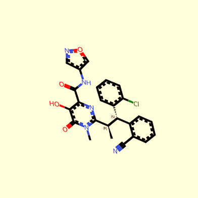 C[C@@H](c1nc(C(=O)Nc2cnoc2)c(O)c(=O)n1C)[C@H](c1ccccc1Cl)c1ccccc1C#N